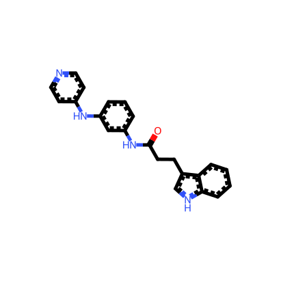 O=C(CCc1c[nH]c2ccccc12)Nc1cccc(Nc2ccncc2)c1